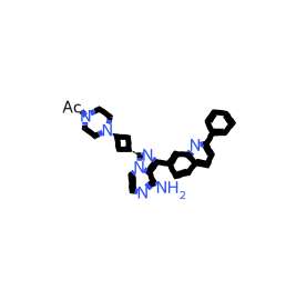 CC(=O)N1CCN([C@H]2C[C@@H](c3nc(-c4ccc5ccc(-c6ccccc6)nc5c4)c4c(N)nccn43)C2)CC1